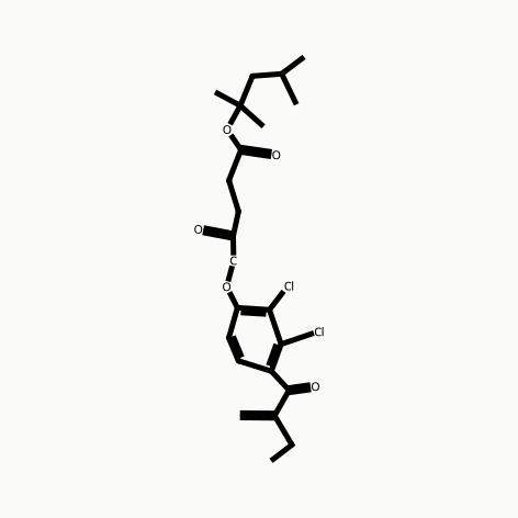 C=C(CC)C(=O)c1ccc(OCC(=O)CCC(=O)OC(C)(C)CC(C)C)c(Cl)c1Cl